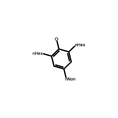 CCCCCCCCCc1cc(CCCCCC)c([O])c(CCCCCC)c1